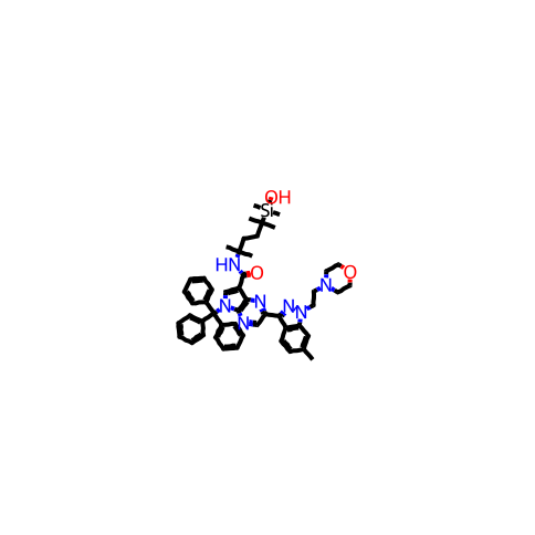 Cc1ccc2c(-c3cnc4c(n3)c(C(=O)NC(C)(C)CCC(C)(C)[Si](C)(C)O)cn4C(c3ccccc3)(c3ccccc3)c3ccccc3)nn(CCN3CCOCC3)c2c1